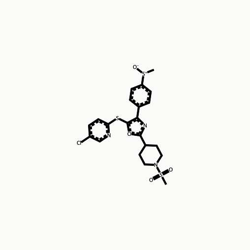 C[S+]([O-])c1ccc(-c2nc(C3CCN(S(C)(=O)=O)CC3)oc2Sc2ccc(Cl)cn2)cc1